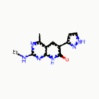 CCNc1nc(C)c2cc(-c3cc[nH]n3)c(=O)[nH]c2n1